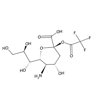 N[C@H]1[C@H]([C@H](O)[C@H](O)CO)O[C@](OC(=O)C(F)(F)F)(C(=O)O)C[C@@H]1O